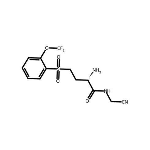 N#CCNC(=O)[C@@H](N)CCS(=O)(=O)c1ccccc1OC(F)(F)F